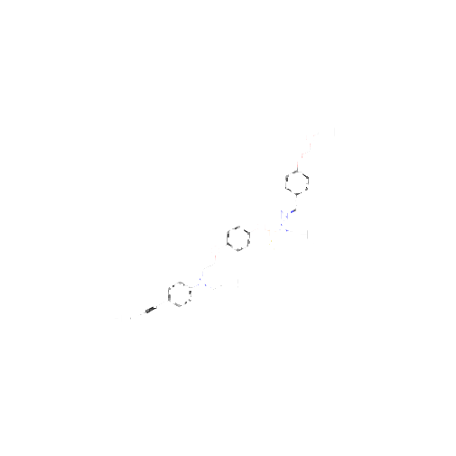 CC#Cc1ccc(N(CC)CCOc2ccc(O[PH](=S)N(C)/N=C/c3ccc(OCOC)cc3)cc2)cc1